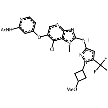 COC1CC(n2nc(Nc3nc4ncc(Oc5ccnc(NC(C)=O)c5)c(Cl)c4n3C)cc2C(C)(F)F)C1